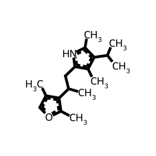 Cc1coc(C)c1C(C)Cc1[nH]c(C)c(C(C)C)c1C